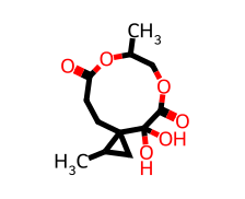 CC1COC(=O)C(O)(O)C2(CCC(=O)O1)CC2C